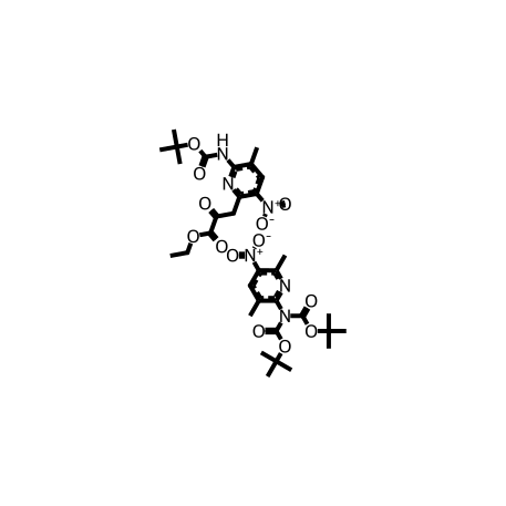 CCOC(=O)C(=O)Cc1nc(NC(=O)OC(C)(C)C)c(C)cc1[N+](=O)[O-].Cc1cc([N+](=O)[O-])c(C)nc1N(C(=O)OC(C)(C)C)C(=O)OC(C)(C)C